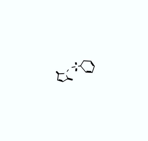 O=C1C=CC(=O)N1OS(=O)(=O)C1C=CC=CC1